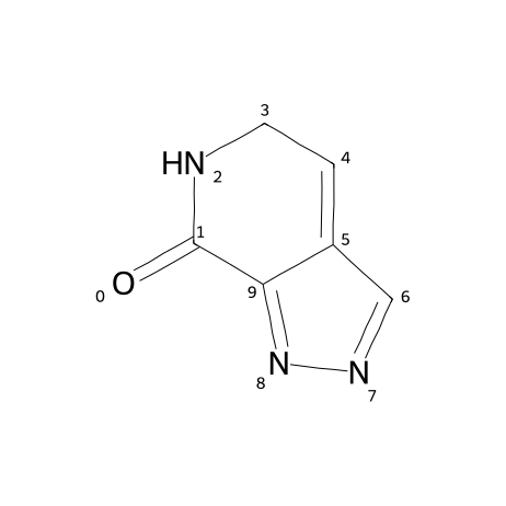 O=C1NCC=C2C=NN=C12